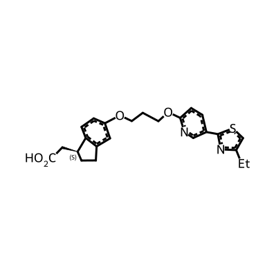 CCc1csc(-c2ccc(OCCCOc3ccc4c(c3)CC[C@H]4CC(=O)O)nc2)n1